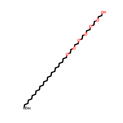 [CH2]CCCCCCCCCCCCCCCCCCCCCCCCCCCCCCCOCCOCCOCCOCCOCCOCCO